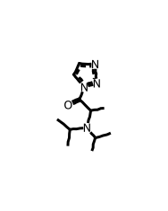 CC(C)N(C(C)C)C(C)C(=O)n1ccnn1